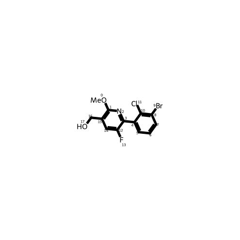 COc1nc(-c2cccc(Br)c2Cl)c(F)cc1CO